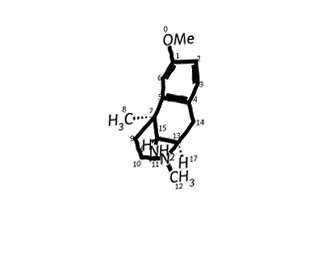 COc1ccc2c(c1)[C@]1(C)CCN(C)[C@H](C2)[C@H]1N